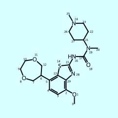 COc1ccc(C2COCCOC2)c2sc(NC(=O)N(C)C3CCN(C)CC3)nc12